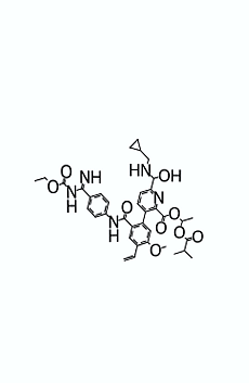 C=Cc1cc(C(=O)Nc2ccc(C(=N)NC(=O)OCC)cc2)c(-c2ccc(C(O)NCC3CC3)nc2C(=O)OC(C)OC(=O)C(C)C)cc1OC